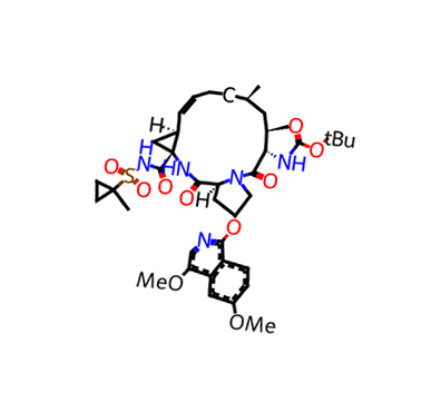 COc1ccc2c(O[C@@H]3C[C@H]4C(=O)N[C@]5(C(=O)NS(=O)(=O)C6(C)CC6)C[C@H]5/C=C\CC[C@@H](C)C[C@@H](C)[C@H](NC(=O)OC(C)(C)C)C(=O)N4C3)ncc(OC)c2c1